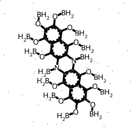 BOc1c(OB)c(OB)c2c(OB)c3c(c(OB)c2c1OB)N(B)c1c(c(OB)c2c(OB)c(OB)c(OB)c(OB)c2c1OB)N3B